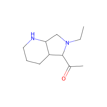 CCN1CC2NCCCC2C1C(C)=O